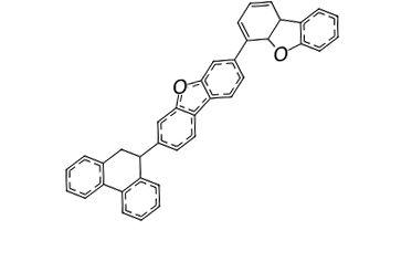 C1=CC2c3ccccc3OC2C(c2ccc3c(c2)oc2cc(C4Cc5ccccc5-c5ccccc54)ccc23)=C1